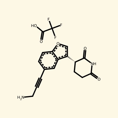 NCC#Cc1ccc2occ([C@H]3CCC(=O)NC3=O)c2c1.O=C(O)C(F)(F)F